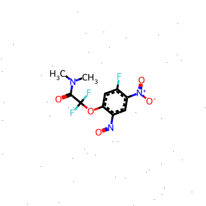 CN(C)C(=O)C(F)(F)Oc1cc(F)c([N+](=O)[O-])cc1N=O